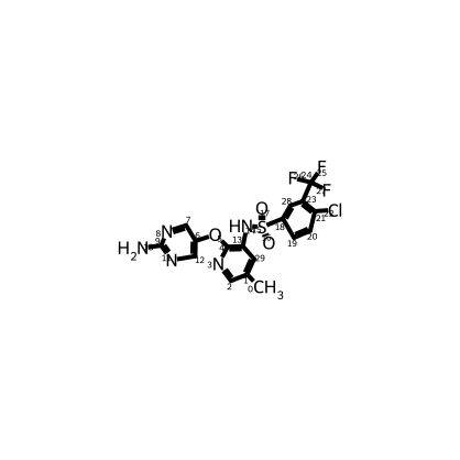 Cc1cnc(Oc2cnc(N)nc2)c(NS(=O)(=O)c2ccc(Cl)c(C(F)(F)F)c2)c1